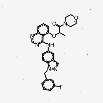 CC(Oc1cccc2ncnc(Nc3ccc4c(cnn4Cc4cccc(F)c4)c3)c12)C(=O)N1CCOCC1